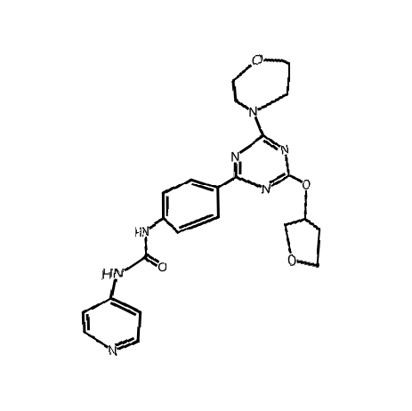 O=C(Nc1ccncc1)Nc1ccc(-c2nc(OC3CCOC3)nc(N3CCOCC3)n2)cc1